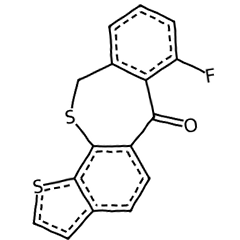 O=C1c2ccc3ccsc3c2SCc2cccc(F)c21